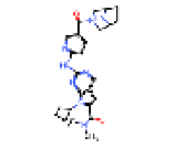 CN(C)C(=O)c1cc2cnc(Nc3ccc(C(=O)N4CC5CCC(C4)N5)cn3)nc2n1C1CCC1